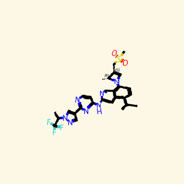 CC(C)c1ccc(N2C[C@H](CS(C)(=O)=O)[C@H]2C)c2cnc(Nc3ccnc(-c4cnn(C(C)C(F)(F)F)c4)n3)cc12